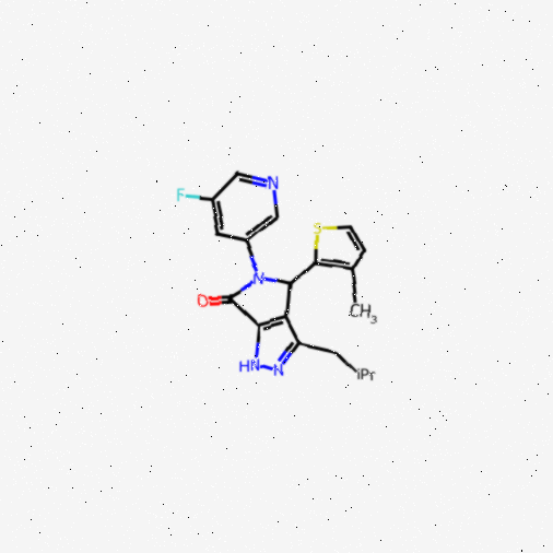 Cc1ccsc1C1c2c(CC(C)C)n[nH]c2C(=O)N1c1cncc(F)c1